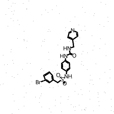 O=C(NCc1ccncc1)Nc1ccc(NS(=O)(=O)Cc2cccc(Br)c2)cc1